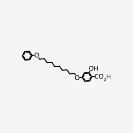 O=C(O)c1ccc(OCCCCCCCCCCOc2ccccc2)cc1O